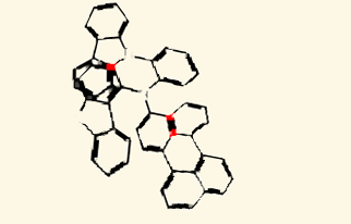 c1ccc(-c2cccc3cccc(-c4ccc(N(c5ccccc5-n5c6ccccc6c6ccccc65)c5cccc6sc7ccccc7c56)cc4)c23)cc1